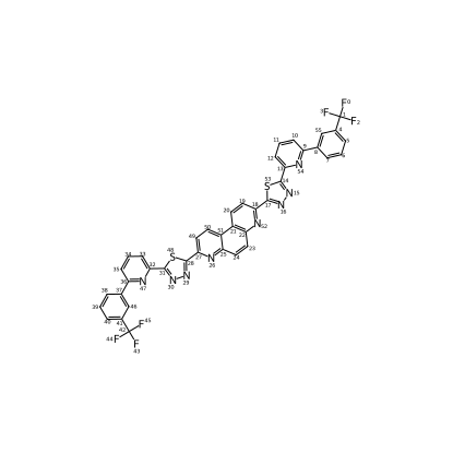 FC(F)(F)c1cccc(-c2cccc(-c3nnc(-c4ccc5c(ccc6nc(-c7nnc(-c8cccc(-c9cccc(C(F)(F)F)c9)n8)s7)ccc65)n4)s3)n2)c1